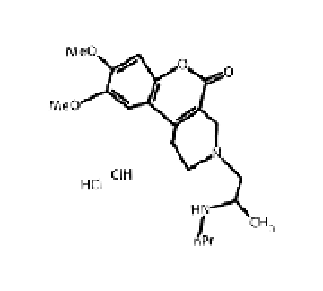 CCCNC(C)CN1CCc2c(c(=O)oc3cc(OC)c(OC)cc23)C1.Cl.Cl